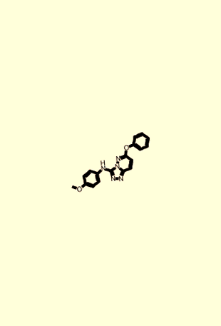 COc1ccc(Nc2nnc3ccc(Oc4ccccc4)nn23)cc1